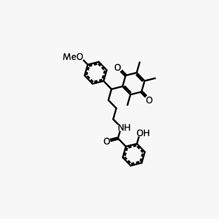 COc1ccc(C(CCCNC(=O)c2ccccc2O)C2=C(C)C(=O)C(C)=C(C)C2=O)cc1